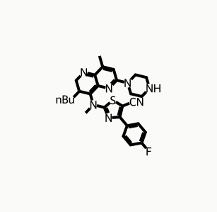 CCCCC1CN=c2c(C)cc(N3CCNCC3)nc2=C1N(C)c1nc(-c2ccc(F)cc2)c(C#N)s1